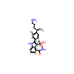 BC(CCCN)c1ccc(-c2[nH]c3cccc4c3c2C(B)(O)ONC4=O)cc1F